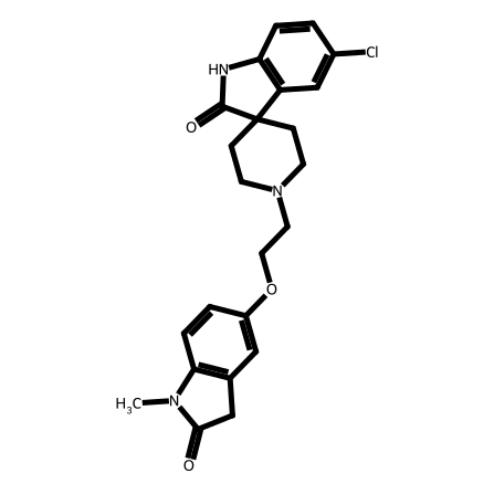 CN1C(=O)Cc2cc(OCCN3CCC4(CC3)C(=O)Nc3ccc(Cl)cc34)ccc21